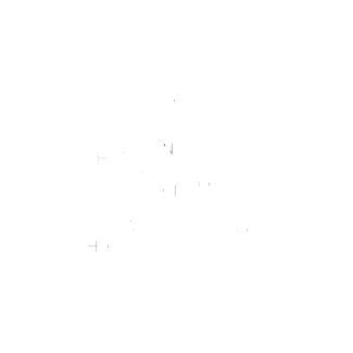 CSCC(C)(C)N=C1OC(C=O)c2cccc(Cl)c21